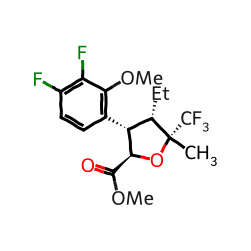 CC[C@H]1[C@@H](c2ccc(F)c(F)c2OC)[C@H](C(=O)OC)O[C@@]1(C)C(F)(F)F